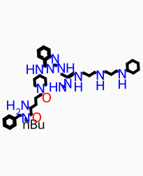 CCCCN(Cc1ccccc1)C(=O)[C@@H](N)CCC(=O)N1CCC(Nc2nc(NC/C(=C/NCCCNCCCNC3CCCCC3)N=N)nc3ccccc23)CC1